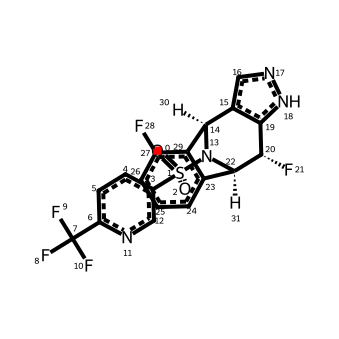 O=S(=O)(c1ccc(C(F)(F)F)nc1)N1[C@@H]2c3cn[nH]c3[C@H](F)[C@H]1c1cccc(F)c12